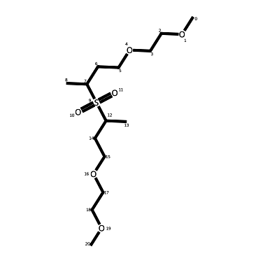 COCCOCCC(C)S(=O)(=O)C(C)CCOCCOC